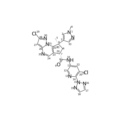 Cn1cc([C@@]2(C)C[C@H](C(=O)Nc3cnc(-n4nccn4)c(Cl)c3)c3cnc4cc(Cl)nn4c32)cn1